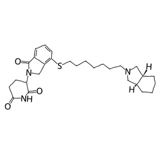 O=C1CCC(N2Cc3c(SCCCCCCCN4C[C@H]5CCCC[C@H]5C4)cccc3C2=O)C(=O)N1